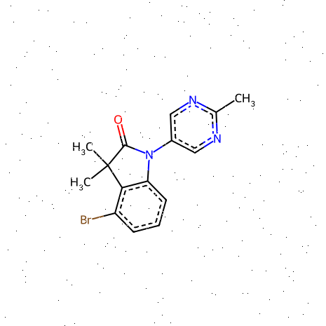 Cc1ncc(N2C(=O)C(C)(C)c3c(Br)cccc32)cn1